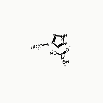 CC(=O)O.O=[PH](O)O.c1cn[nH]c1